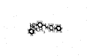 Cn1c(NC2CCC(CCN3CCN(c4ccccc4)CC3)CC2)nc2ccccc21